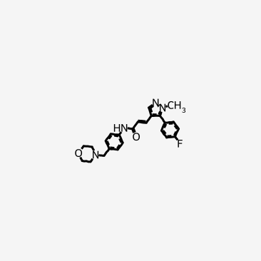 Cn1ncc(C=CC(=O)Nc2ccc(CN3CCOCC3)cc2)c1-c1ccc(F)cc1